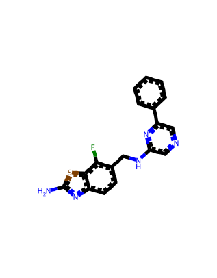 Nc1nc2ccc(CNc3cncc(-c4ccccc4)n3)c(F)c2s1